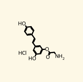 Cl.NCC(=O)Oc1cc(O)cc(C=Cc2ccc(O)cc2)c1